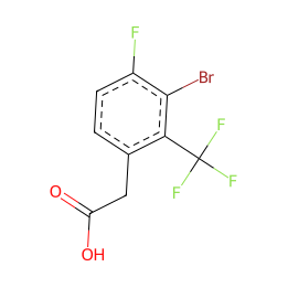 O=C(O)Cc1ccc(F)c(Br)c1C(F)(F)F